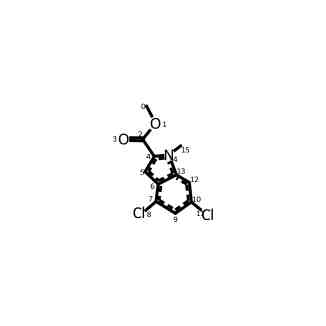 COC(=O)c1cc2c(Cl)cc(Cl)cc2n1C